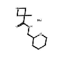 CC1(C(=O)NCC2CCCCO2)CNC1.Cl